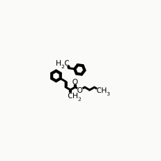 C=C(C=Cc1ccccc1)C(=O)OCCCC.C=Cc1ccccc1